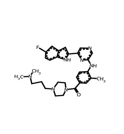 Cc1cc(C(=O)N2CCN(CCCN(C)C)CC2)ccc1Nc1cncc(-c2cc3cc(F)ccc3[nH]2)n1